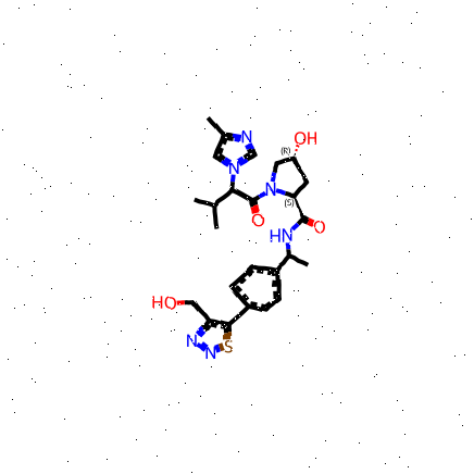 Cc1cn(C(C(=O)N2C[C@H](O)C[C@H]2C(=O)NC(C)c2ccc(-c3snnc3CO)cc2)C(C)C)cn1